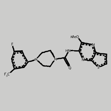 COc1nc2ccsc2nc1NC(=O)N1CCN(c2cc(F)cc(C(F)(F)F)c2)CC1